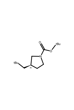 CC(C)(C)C[C@@H]1CCN(C(=O)OC(C)(C)C)C1